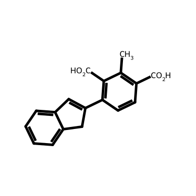 Cc1c(C(=O)O)ccc(C2=Cc3ccccc3C2)c1C(=O)O